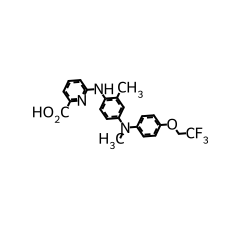 Cc1cc(N(C)c2ccc(OCC(F)(F)F)cc2)ccc1Nc1cccc(C(=O)O)n1